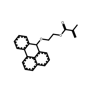 C=C(C)C(=O)OCCOC1c2ccccc2-c2cccc3cccc1c23